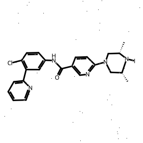 C[C@@H]1CN(c2ccc(C(=O)Nc3ccc(Cl)c(-c4ccccn4)c3)cn2)C[C@H](C)N1I